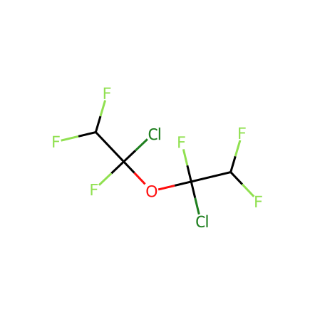 FC(F)C(F)(Cl)OC(F)(Cl)C(F)F